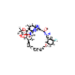 Cc1cc2nc3cn2c(c1[C@H](OC(C)(C)C)C(=O)O)N1CCC(C)(CCCCCCOc2ccc(F)cc2CNC3=O)CC1